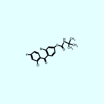 CC(C)(C)NC(=O)Oc1ccc(C(=O)c2ccc(F)cc2Cl)c(Br)c1